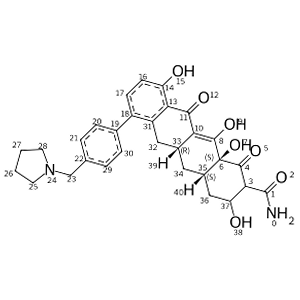 NC(=O)C1C(=O)[C@@]2(O)C(O)=C3C(=O)c4c(O)ccc(-c5ccc(CN6CCCC6)cc5)c4C[C@H]3C[C@H]2CC1O